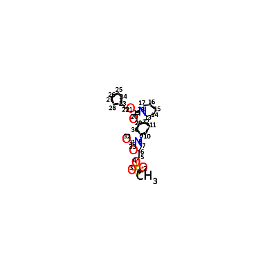 CS(=O)(=O)OCC1CN(c2ccc([C@H]3CC=CCN3C(=O)OCc3ccccc3)cc2)C(=O)O1